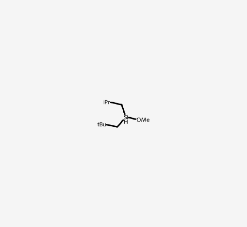 CO[SiH](CC(C)C)CC(C)(C)C